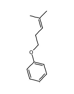 CC(C)=CCCOc1cc[c]cc1